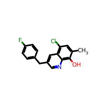 Cc1cc(Cl)c2cc(Cc3ccc(F)cc3)cnc2c1O